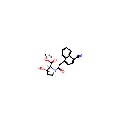 COC(=O)[C@@H]1[C@H](O)CCN1C(=O)Cc1ccc(C#N)c2ccccc12